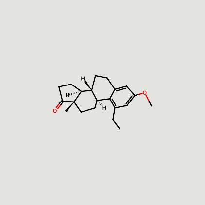 CCc1cc(OC)cc2c1[C@H]1CC[C@]3(C)C(=O)CC[C@H]3[C@@H]1CC2